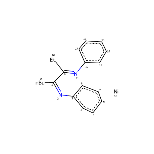 CCCCC(=Nc1ccccc1)C(CC)=Nc1ccccc1.[Ni]